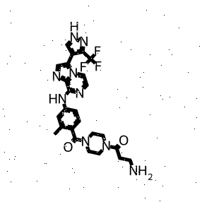 Cc1cc(Nc2nccn3c(-c4c[nH]nc4C(F)(F)F)cnc23)ccc1C(=O)N1CCN(C(=O)CCN)CC1